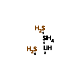 S.S.[LiH].[SiH4]